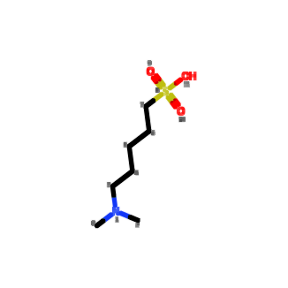 CN(C)CCCCCS(=O)(=O)O